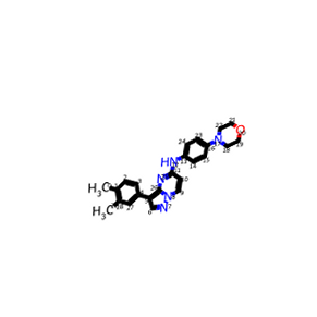 Cc1ccc(-c2cnn3ccc(Nc4ccc(N5CCOCC5)cc4)nc23)cc1C